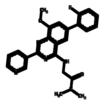 COc1cc(-c2ccccc2F)cc2c(NCC(=O)N(C)C)nc(-c3cccnc3)nc12